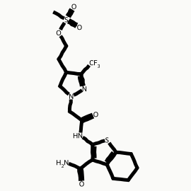 CS(=O)(=O)OCCC1CN(CC(=O)Nc2sc3c(c2C(N)=O)CCCC3)N=C1C(F)(F)F